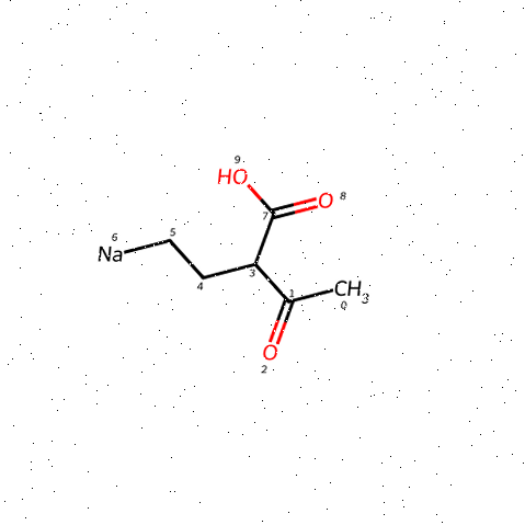 CC(=O)C(C[CH2][Na])C(=O)O